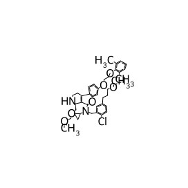 COCCCc1ccc(Cl)c(CN(C(=O)C2=C(c3ccc(OCCOc4c(C)cccc4C)cc3)CCN[C@@H]2COCOC)C2CC2)c1